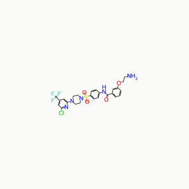 NCCOc1cccc(C(=O)Nc2ccc(S(=O)(=O)N3CCN(c4cc(C(F)(F)F)cc(Cl)n4)CC3)cc2)c1